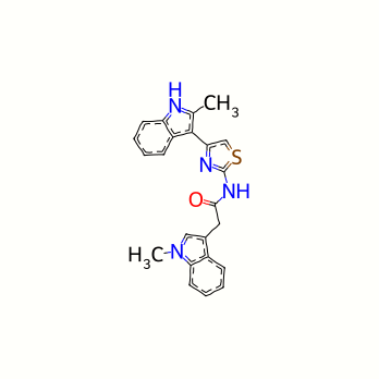 Cc1[nH]c2ccccc2c1-c1csc(NC(=O)Cc2cn(C)c3ccccc23)n1